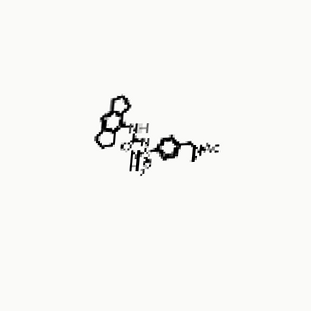 CC(=O)N(C)Cc1ccc(S(N)(=O)=NC(=O)Nc2c3c(cc4c2CCC4)CCC3)cc1